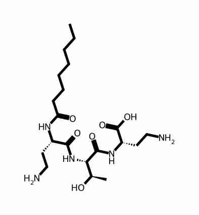 CCCCCCCC(=O)N[C@@H](CCN)C(=O)N[C@H](C(=O)N[C@@H](CCN)C(=O)O)[C@@H](C)O